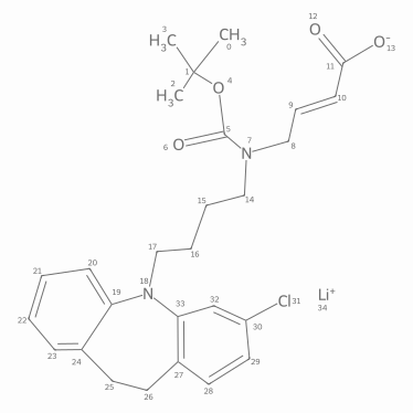 CC(C)(C)OC(=O)N(C/C=C/C(=O)[O-])CCCCN1c2ccccc2CCc2ccc(Cl)cc21.[Li+]